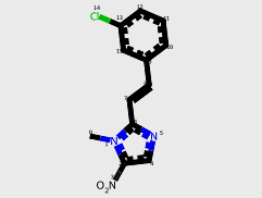 Cn1c([N+](=O)[O-])cnc1/C=C/c1cccc(Cl)c1